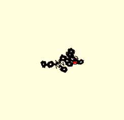 c1ccc(-c2ccc(-c3nc(-c4ccccc4)nc(-c4cccc5c4-c4ccccc4C54c5ccc6ccccc6c5Oc5c4ccc4ccccc54)n3)cc2)cc1